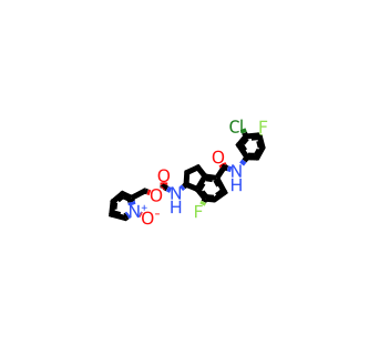 O=C(NC1CCc2c(C(=O)Nc3ccc(F)c(Cl)c3)ccc(F)c21)OCc1cccc[n+]1[O-]